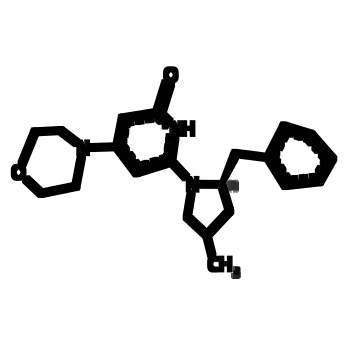 CC1C[C@H](Cc2ccccc2)N(c2cc(N3CCOCC3)cc(=O)[nH]2)C1